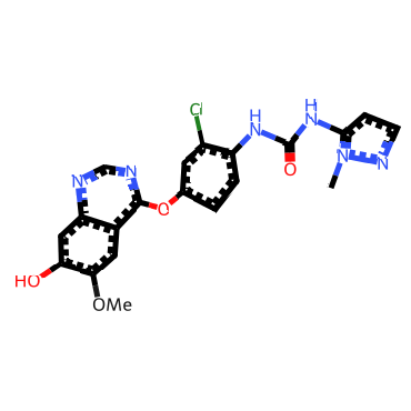 COc1cc2c(Oc3ccc(NC(=O)Nc4ccnn4C)c(Cl)c3)ncnc2cc1O